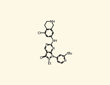 CCn1c(=O)c2cnc(Nc3cc(Cl)c4c(c3)CNCC4)nc2n1-c1ccnc(C(C)(C)C)c1